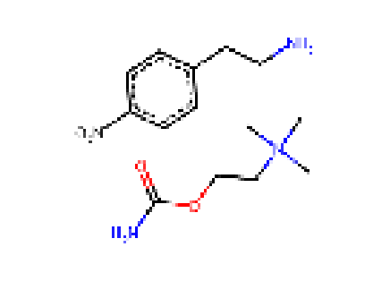 C[N+](C)(C)CCOC(N)=O.NCCc1ccc([N+](=O)[O-])cc1